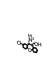 NC[C@H]1c2cc(Cl)ccc2Oc2ccccc2[C@@H]1CO